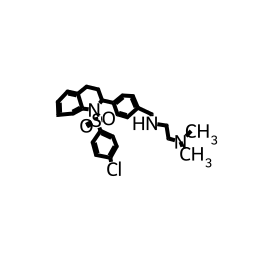 CN(C)CCNCc1ccc(C2CCc3ccccc3N2S(=O)(=O)c2ccc(Cl)cc2)cc1